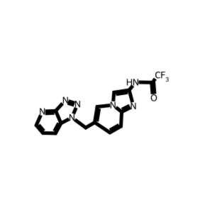 O=C(Nc1cn2cc(Cn3nnc4ncccc43)ccc2n1)C(F)(F)F